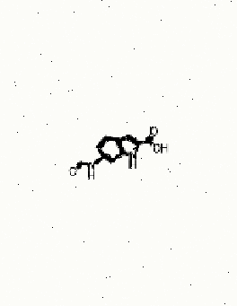 O=CNc1ccc2cc(C(=O)O)[nH]c2c1